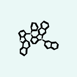 c1ccc(N(c2cccc3sc4c5ccccc5ccc4c23)c2cccc3c2c2cc4ccccc4cc2n3-c2ccc3ccccc3c2)cc1